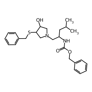 CC(C)CC(CN1CC(O)C(SCc2ccccc2)C1)NC(=O)OCc1ccccc1